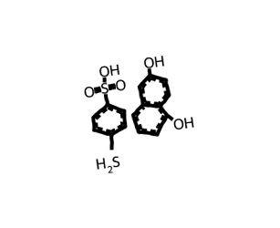 Cc1ccc(S(=O)(=O)O)cc1.Oc1ccc2c(O)cccc2c1.S